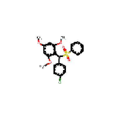 COc1cc(OC)c(C(c2ccc(Cl)cc2)S(=O)(=O)c2ccccc2)c(OC)c1